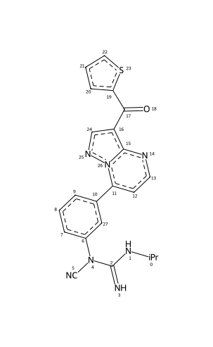 CC(C)NC(=N)N(C#N)c1cccc(-c2ccnc3c(C(=O)c4cccs4)cnn23)c1